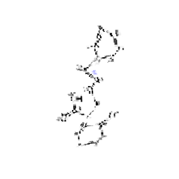 O=C1CC=CC=C1C(CO/N=C/c1ccccc1)C(=O)O